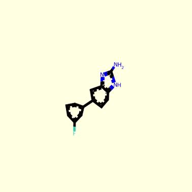 Nc1nc2cc(-c3cccc(F)c3)ccc2[nH]1